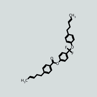 C/C=C/CCc1ccc(OC(F)(F)c2ccc(OC(=O)c3ccc(CC/C=C/C)cc3)cc2)cc1